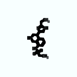 CCc1nc(C2CNCc3c(NS(=O)(=O)CC)cccc32)c[nH]1